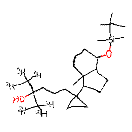 [2H]C([2H])([2H])C(O)(CCCC1(C2CCC3C(O[Si](C)(C)C(C)(C)C)CCCC32C)CC1)C([2H])([2H])[2H]